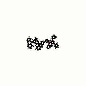 C1=Cc2cc3c(c4c5c(cc1c24)B1c2ccccc2Sc2cccc(c21)S5)Sc1cccc2c1B3c1ccc(-c3ccc4c(c3)B3c5ccccc5Sc5c(-c6ccccc6)cc(-c6ccccc6)c(c53)S4)cc1S2